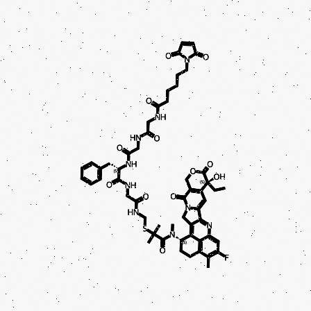 CC[C@@]1(O)C(=O)OCc2c1cc1n(c2=O)Cc2c-1nc1cc(F)c(C)c3c1c2[C@@H](N(C)C(=O)C(C)(C)SCNC(=O)CNC(=O)[C@H](Cc1ccccc1)NC(=O)CNC(=O)CNC(=O)CCCCCN1C(=O)C=CC1=O)CC3